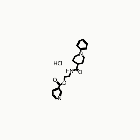 Cl.O=C(OCCNC(=O)C1CCN(c2ccccc2)CC1)c1cccnc1